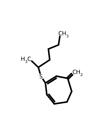 C=C1C=C(SC(C)CCCC)C=CCC1